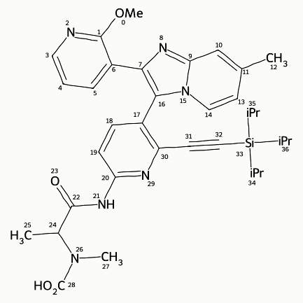 COc1ncccc1-c1nc2cc(C)ccn2c1-c1ccc(NC(=O)C(C)N(C)C(=O)O)nc1C#C[Si](C(C)C)(C(C)C)C(C)C